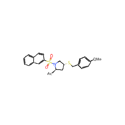 COc1ccc(CS[C@@H]2C[C@@H](C(C)=O)N(S(=O)(=O)c3ccc4ccccc4c3)C2)cc1